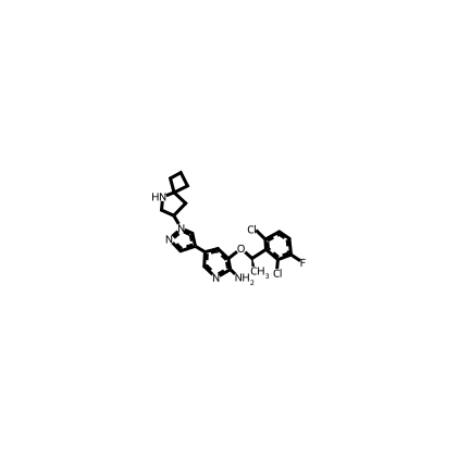 C[C@@H](Oc1cc(-c2cnn(C3CNC4(CCC4)C3)c2)cnc1N)c1c(Cl)ccc(F)c1Cl